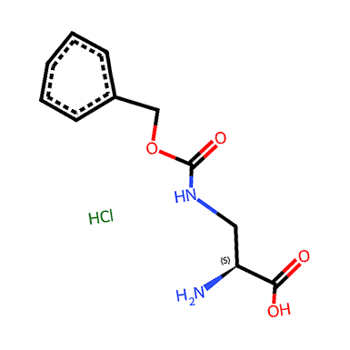 Cl.N[C@@H](CNC(=O)OCc1ccccc1)C(=O)O